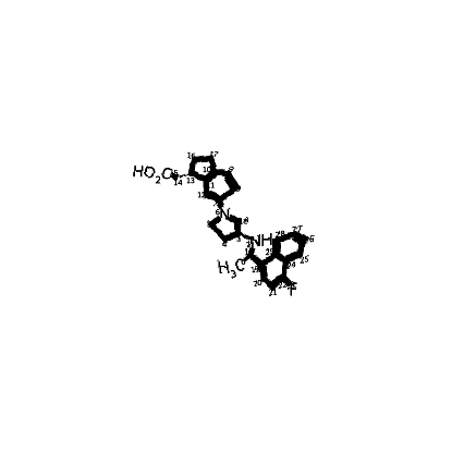 C[C@@H](N[C@H]1CCN(c2ccc3c(c2)[C@H](CC(=O)O)CC3)C1)c1ccc(F)c2ccccc12